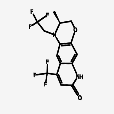 C[C@H]1COc2cc3[nH]c(=O)cc(C(F)(F)F)c3cc2N1CC(F)(F)F